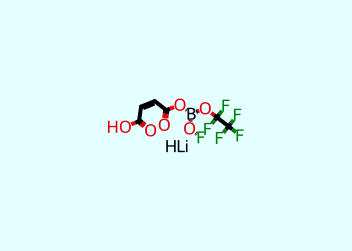 O=C(O)/C=C\C(=O)OB(OF)OC(F)(F)C(F)(F)F.[LiH]